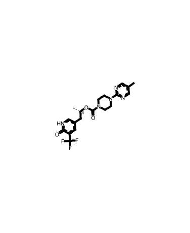 Cc1cnc(N2CCN(C(=O)O[C@@H](C)Cc3c[nH]c(=O)c(C(F)(F)F)c3)CC2)nc1